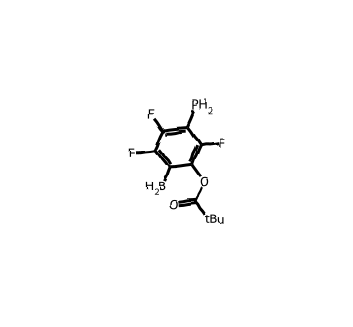 Bc1c(F)c(F)c(P)c(F)c1OC(=O)C(C)(C)C